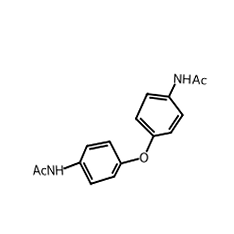 CC(=O)Nc1ccc(Oc2ccc(NC(C)=O)cc2)cc1